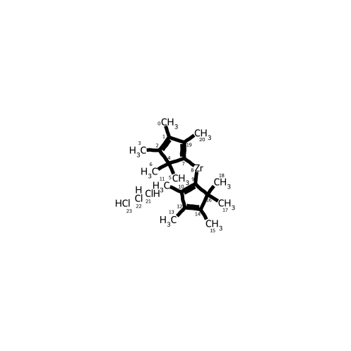 CC1=C(C)C(C)(C)[C]([Zr][C]2=C(C)C(C)=C(C)C2(C)C)=C1C.Cl.Cl.Cl